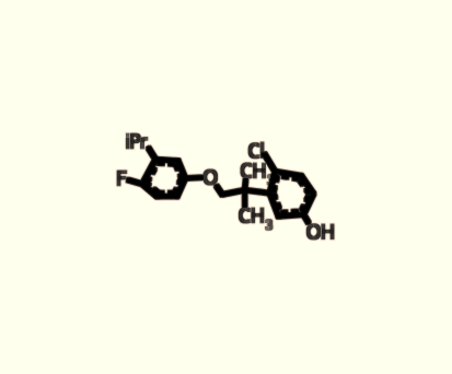 CC(C)c1cc(OCC(C)(C)c2cc(O)ccc2Cl)ccc1F